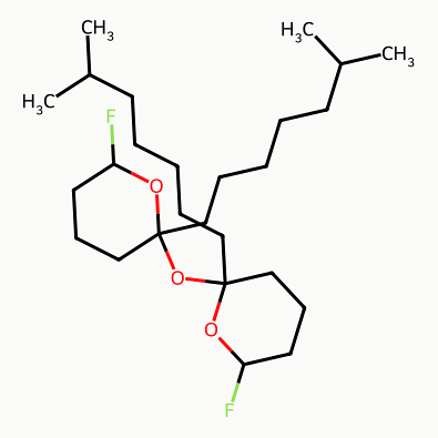 CC(C)CCCCCC1(OC2(CCCCCC(C)C)CCCC(F)O2)CCCC(F)O1